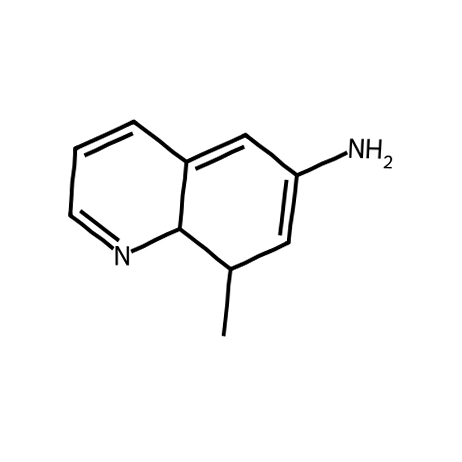 CC1C=C(N)C=C2C=CC=NC21